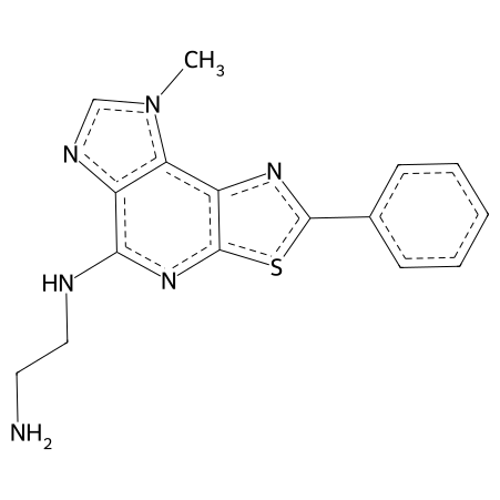 Cn1cnc2c(NCCN)nc3sc(-c4ccccc4)nc3c21